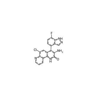 Nc1c(-c2ccc(F)c3[nH]ncc23)c2cc(Cl)c3ncccc3c2[nH]c1=O